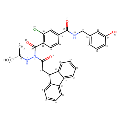 C[C@H](NN(C(=O)CC1c2ccccc2-c2ccccc21)C(=O)c1ccc(C(=O)NCc2cccc(O)c2)cc1Cl)C(=O)O